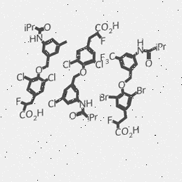 CC(C)C(=O)Nc1cc(COc2c(Br)cc(CC(F)C(=O)O)cc2Br)cc(C(F)(F)F)c1.CC(C)C(=O)Nc1cc(Cl)cc(COc2c(Cl)cc(CC(F)C(=O)O)cc2Cl)c1.Cc1cc(COc2c(Cl)cc(CC(F)C(=O)O)cc2Cl)cc(NC(=O)C(C)C)c1